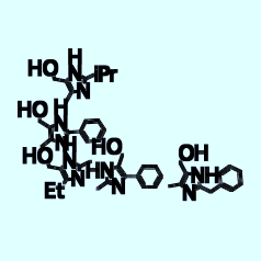 CCc1nc(C)[nH]c1CO.Cc1nc(-c2ccccc2)[nH]c1CO.Cc1nc(-c2ccccc2)c(CO)[nH]1.Cc1nc(C(C)C)[nH]c1CO.Cc1nc(Cc2ccccc2)[nH]c1CO